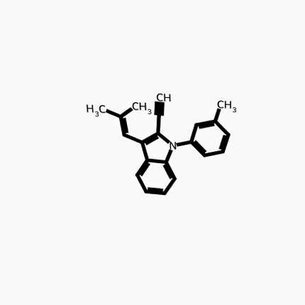 C#Cc1c(C=C(C)C)c2ccccc2n1-c1cccc(C)c1